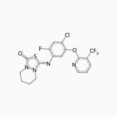 O=c1sc(=Nc2cc(Oc3ncccc3C(F)(F)F)c(Cl)cc2F)n2n1CCCC2